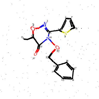 CC1ON=C(c2cccs2)N(OCc2ccccc2)C1=O